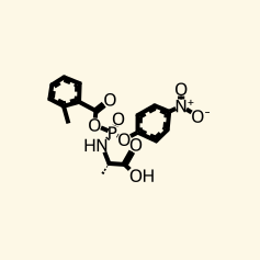 Cc1ccccc1C(=O)OP(=O)(N[C@@H](C)C(=O)O)Oc1ccc([N+](=O)[O-])cc1